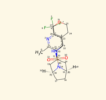 Cc1nc(C(F)(F)F)ccc1S(=O)(=O)N1[C@@H]2CC[C@H]1C[C@@H](NCC1CCOCC1)C2